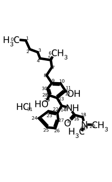 CCCCCC(C)CCc1cc(O)c(C(NC(=O)CN(C)C)c2ccccc2)c(O)c1.Cl